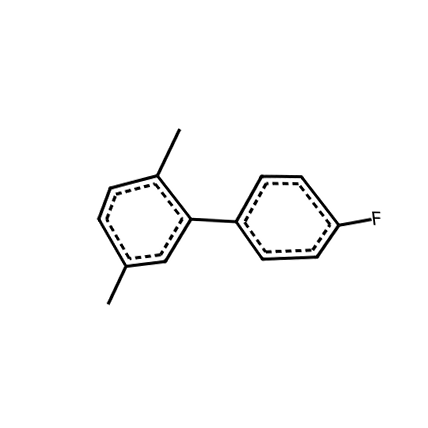 Cc1ccc(C)c(-c2ccc(F)cc2)c1